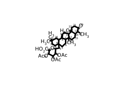 CC(=O)OC1C(CC23CCC4C(=CCC5C4(C)CCC4C(C)C(=O)CCC45C)C2CC(C)(C)CC3)OC(C(=O)O)C(OC(C)=O)C1OC(C)=O